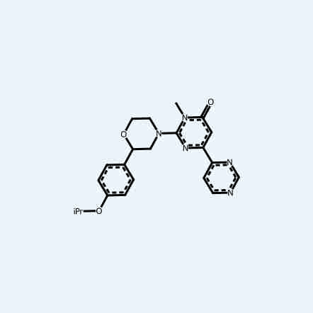 CC(C)Oc1ccc(C2CN(c3nc(-c4ccncn4)cc(=O)n3C)CCO2)cc1